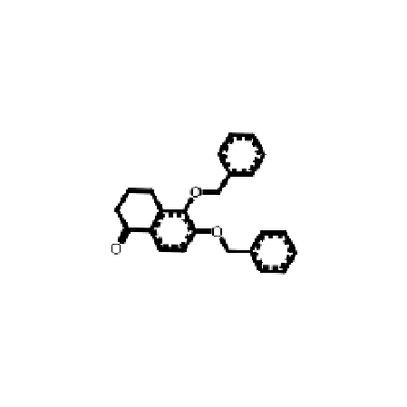 O=C1CCCc2c1ccc(OCc1ccccc1)c2OCc1ccccc1